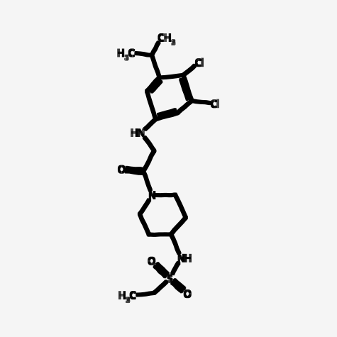 CCS(=O)(=O)NC1CCN(C(=O)CNc2cc(Cl)c(Cl)c(C(C)C)c2)CC1